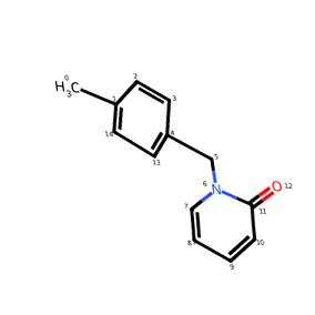 Cc1ccc(Cn2c[c]ccc2=O)cc1